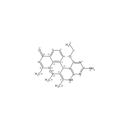 CCOc1nc(N)nc2c1C(c1cccc3c(=O)cc(C)oc13)C(C(C)=O)=C(C)N2